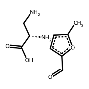 Cc1ccc(C=O)o1.NC[C@H](N)C(=O)O